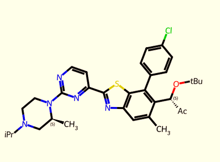 CC(=O)[C@@H](OC(C)(C)C)c1c(C)cc2nc(-c3ccnc(N4CCN(C(C)C)C[C@@H]4C)n3)sc2c1-c1ccc(Cl)cc1